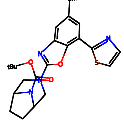 CSc1cc(-c2nccs2)c2oc(N3CC4CCC(C3)N4C(=O)OC(C)(C)C)nc2c1